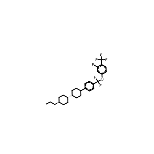 CCC[C@H]1CC[C@H](C2CCC(c3ccc(C(F)(F)Oc4ccc(C(F)(F)F)c(F)c4)cc3)CC2)CC1